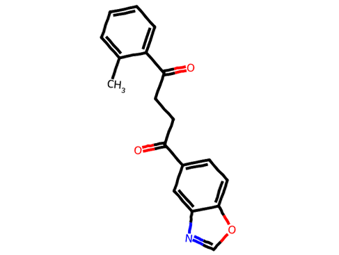 Cc1ccccc1C(=O)CCC(=O)c1ccc2ocnc2c1